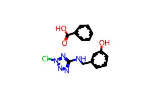 O=C(O)c1ccccc1.Oc1cccc(CNc2nnn(Cl)n2)c1